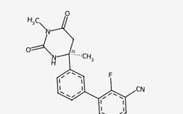 CN1C(=O)C[C@@](C)(c2cccc(-c3cccc(C#N)c3F)c2)NC1=O